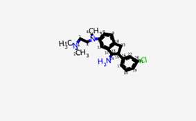 CN(C)CCN(C)c1ccc2c(c1)C(N)C(c1cccc(Cl)c1)C2